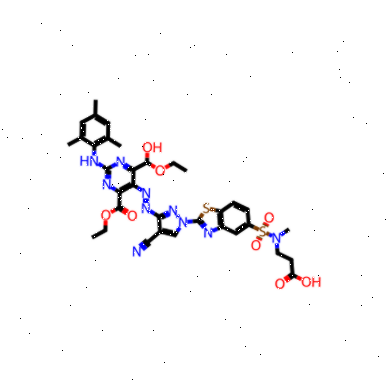 CCOC(=O)c1nc(Nc2c(C)cc(C)cc2C)nc(C(O)OCC)c1N=Nc1nn(-c2nc3cc(S(=O)(=O)N(C)CCC(=O)O)ccc3s2)cc1C#N